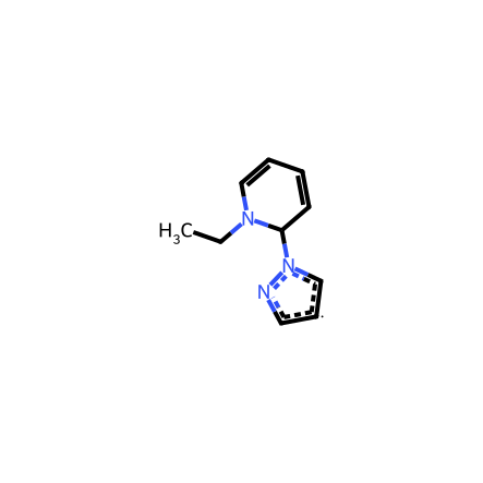 CCN1C=CC=CC1n1c[c]cn1